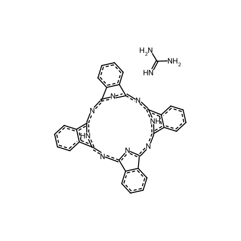 N=C(N)N.c1ccc2c(c1)-c1nc-2nc2[nH]c(nc3nc(nc4[nH]c(n1)c1ccccc41)-c1ccccc1-3)c1ccccc21